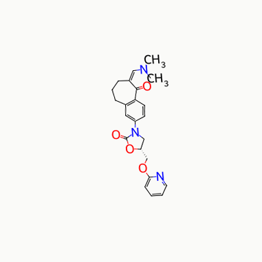 CN(C)/C=C1/CCCc2cc(N3C[C@H](COc4ccccn4)OC3=O)ccc2C1=O